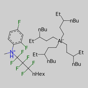 CCCCC(CC)C[CH2][Al-]([CH2]CC(CC)CCCC)([CH2]CC(CC)CCCC)[CH2]CC(CC)CCCC.CCCCCCC(F)(F)C(F)(F)C(F)(F)[NH+](C)c1ccc(F)cc1F